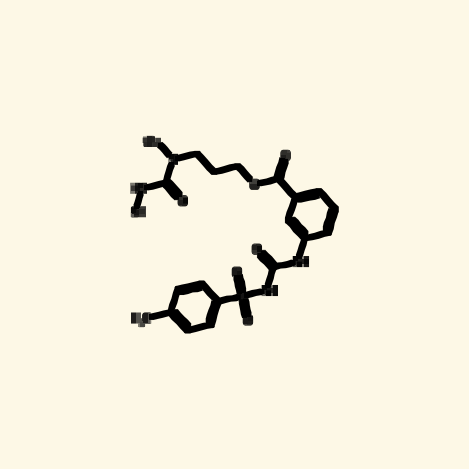 Cc1ccc(S(=O)(=O)NC(=O)Nc2cccc(C(=O)OCCCN(C(=O)NS)C(C)(C)C)c2)cc1